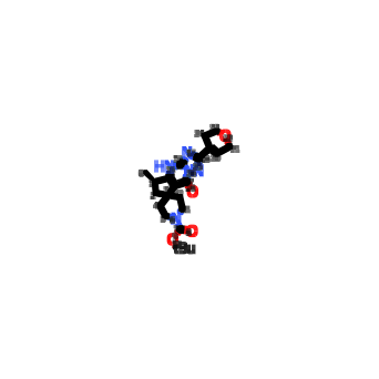 C[C@@H]1CC2(CCN(C(=O)OC(C)(C)C)CC2)c2c1[nH]c1nc(C3=CCOCC3)nn1c2=O